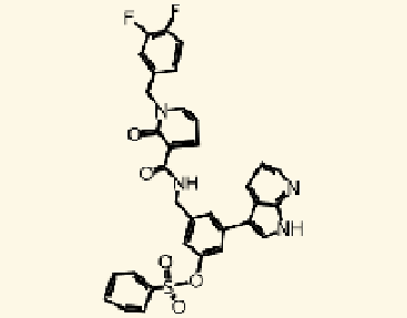 O=C(NCc1cc(OS(=O)(=O)c2ccccc2)cc(-c2c[nH]c3ncccc23)c1)c1cccn(Cc2ccc(F)c(F)c2)c1=O